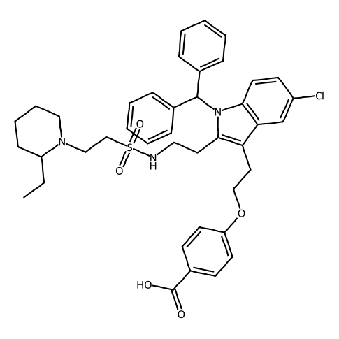 CCC1CCCCN1CCS(=O)(=O)NCCc1c(CCOc2ccc(C(=O)O)cc2)c2cc(Cl)ccc2n1C(c1ccccc1)c1ccccc1